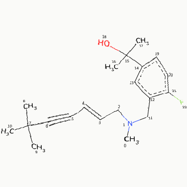 CN(CC=CC#CC(C)(C)C)Cc1cc(C(C)(C)O)ccc1F